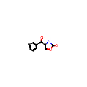 O=C1NC(C(O)c2ccccc2)CO1